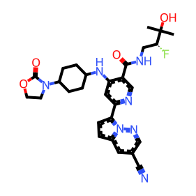 CC(C)(O)[C@H](F)CNC(=O)c1cnc(-c2ccc3cc(C#N)cnn23)cc1NC1CCC(N2CCOC2=O)CC1